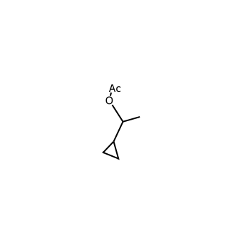 [CH2]C(=O)OC(C)C1CC1